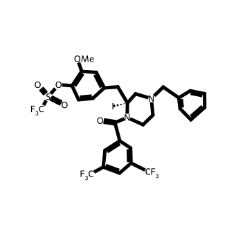 COc1cc(C[C@@]2(I)CN(Cc3ccccc3)CCN2C(=O)c2cc(C(F)(F)F)cc(C(F)(F)F)c2)ccc1OS(=O)(=O)C(F)(F)F